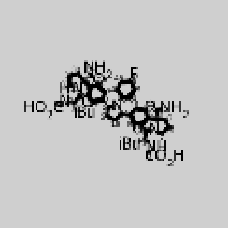 CC[C@@H](C)[C@H](NC(=O)O)C(=O)N1CCC[C@@]1(C(N)=O)c1ccc([C@H]2CC[C@H](c3ccc([C@]4(C(N)=O)CCCN4C(=O)[C@@H](NC(=O)O)[C@H](C)CC)cc3)N2c2ccc(F)cc2)cc1